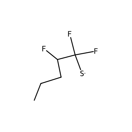 CCCC(F)C(F)(F)[S]